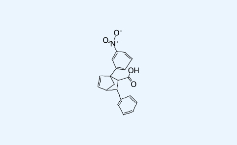 O=C(O)C1C(c2ccccc2)C2C=CC1(c1cccc([N+](=O)[O-])c1)C2